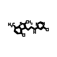 Cc1sc2c(C)ccc(Cl)c2c1CCNc1cc(Cl)ncn1